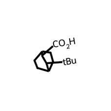 CC(C)(C)C1C2CCC(CC2)C1C(=O)O